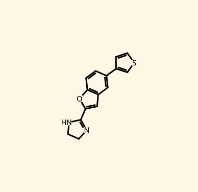 c1cc(-c2ccc3oc(C4=NCCN4)cc3c2)cs1